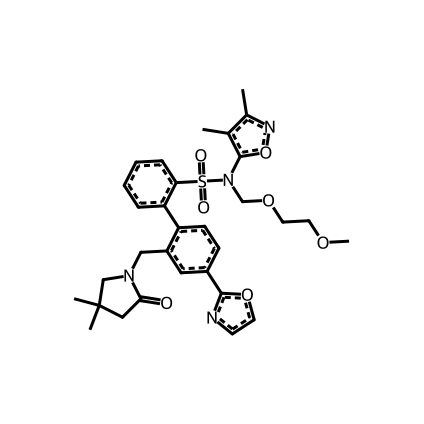 COCCOCN(c1onc(C)c1C)S(=O)(=O)c1ccccc1-c1ccc(-c2ncco2)cc1CN1CC(C)(C)CC1=O